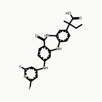 CCC(C)(C(=O)O)c1ccc2c(c1)NC(=O)c1ccc(Nc3cc(F)nc(F)c3)cc1N2